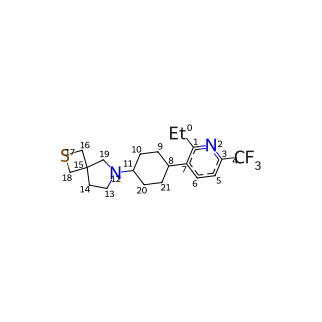 CCc1nc(C(F)(F)F)ccc1C1CCC(N2CCC3(CSC3)C2)CC1